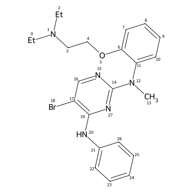 CCN(CC)CCOc1ccccc1N(C)c1ncc(Br)c(Nc2ccccc2)n1